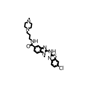 CN1CCN(CCCNC(=O)c2ccc3c(c2)nc(Nc2nc4ccc(Cl)cc4s2)n3C)CC1